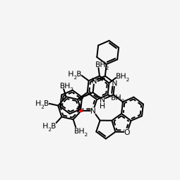 Bc1c(B)c(B)c2c(c1B)c1c(B)c(B)c(B)c(B)c1n2C1C=Cc2oc3cccc(C4=NC(C5=CC=CCC5)=NC(c5ccccc5)N4)c3c21